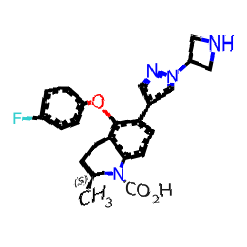 C[C@H]1CCc2c(ccc(-c3cnn(C4CNC4)c3)c2Oc2ccc(F)cc2)N1C(=O)O